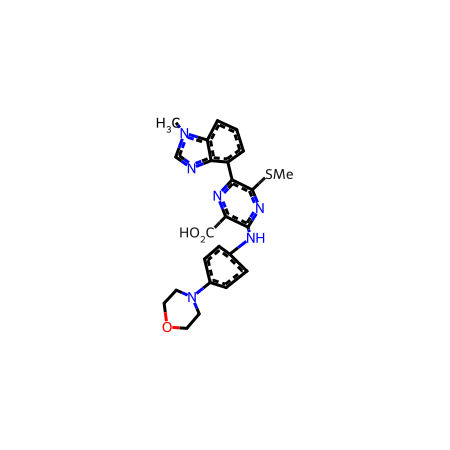 CSc1nc(Nc2ccc(N3CCOCC3)cc2)c(C(=O)O)nc1-c1cccc2c1ncn2C